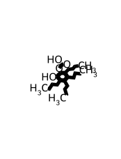 CCCCc1c(O)c(OC(=O)O)c(CCCC)c(CCCC)c1CCCC